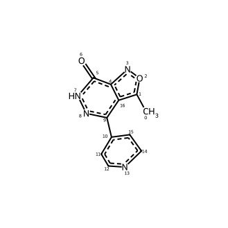 Cc1onc2c(=O)[nH]nc(-c3ccncc3)c12